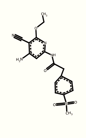 CCOc1nc(NC(=O)Cc2ccc(S(C)(=O)=O)cc2)cc(N)c1C#N